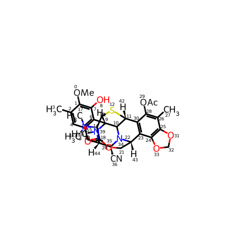 COc1c(C)cc2c(c1O)[C@@H]1C3[C@@H]4SC[C@H](N(C)C)C(=O)OC[C@@H](c5c6c(c(C)c(OC(C)=O)c54)OCO6)N3[C@@H](C#N)[C@H](C2)N1C